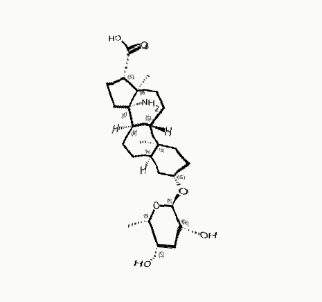 C[C@@H]1O[C@@H](O[C@H]2CC[C@@]3(C)[C@H](CC[C@@H]4[C@@H]3CC[C@]3(C)[C@@H](C(=O)O)CC[C@]43N)C2)[C@H](O)C[C@@H]1O